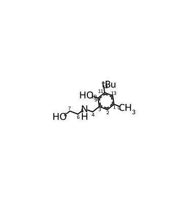 Cc1cc(CNCCO)c(O)c(C(C)(C)C)c1